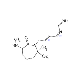 CNC1CCCC(C)(C)N(C/C=C/C=N\C=N)C1=O